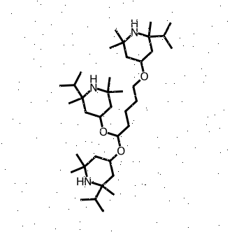 CC(C)C1(C)CC(OCCCCC(OC2CC(C)(C)NC(C)(C(C)C)C2)OC2CC(C)(C)NC(C)(C(C)C)C2)CC(C)(C)N1